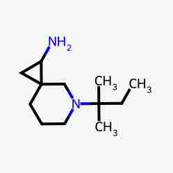 CCC(C)(C)N1CCCC2(CC2N)C1